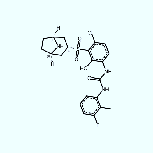 Cc1c(F)cccc1NC(=O)Nc1ccc(Cl)c(S(=O)(=O)[C@@H]2C[C@H]3CC[C@@H](C2)N3)c1O